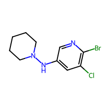 Clc1cc(NN2CCCCC2)cnc1Br